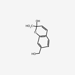 O=C(O)C1(O)C=Cc2ccc(CO)cc2O1